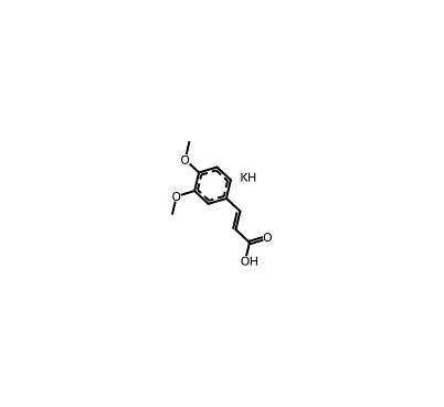 COc1ccc(C=CC(=O)O)cc1OC.[KH]